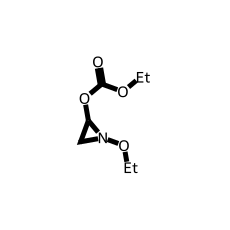 CCOC(=O)OC1CN1OCC